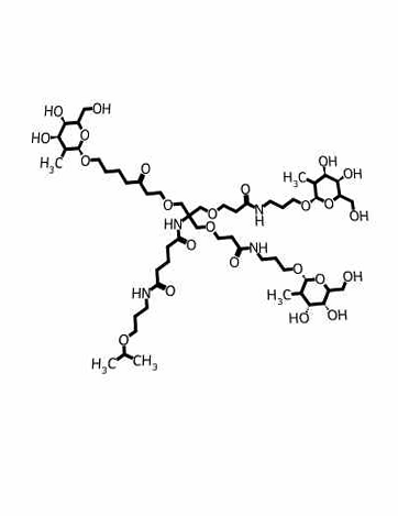 CC(C)OCCCNC(=O)CCCC(=O)NC(COCCC(=O)CCCCO[C@@H]1OC(CO)[C@H](O)[C@H](O)C1C)(COCCC(=O)NCCCO[C@@H]1OC(CO)[C@H](O)[C@H](O)C1C)COCCC(=O)NCCCO[C@@H]1OC(CO)[C@H](O)[C@H](O)C1C